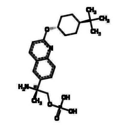 CC(C)(C)[C@H]1CC[C@H](Oc2ccc3cc([C@@](C)(N)COP(=O)(O)O)ccc3n2)CC1